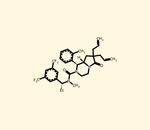 C=CCC1(CC=C)C[C@H]2[C@H](c3ccccc3C)N(C(=O)N(C)[C@H](CC)c3cc(C(F)(F)F)cc(C(F)(F)F)c3)CCN2C1=O